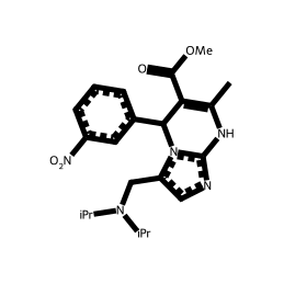 COC(=O)C1=C(C)Nc2ncc(CN(C(C)C)C(C)C)n2C1c1cccc([N+](=O)[O-])c1